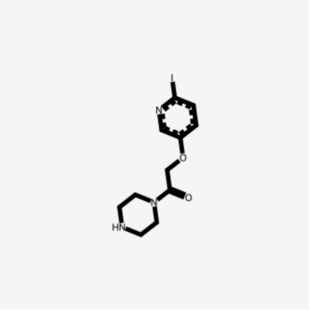 O=C(COc1ccc(I)nc1)N1CCNCC1